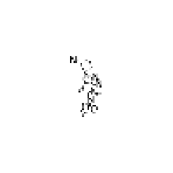 C[C@H]1CN(C(=O)OC(C)(C)C)CCN1c1ncnc2c1c(C1CC1)cn2[C@H]1CCC[C@@H](C#N)C1